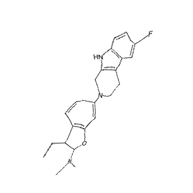 CCC1c2ccc(N3CCc4c([nH]c5ccc(F)cc45)C3)cc2OC1N(C)C